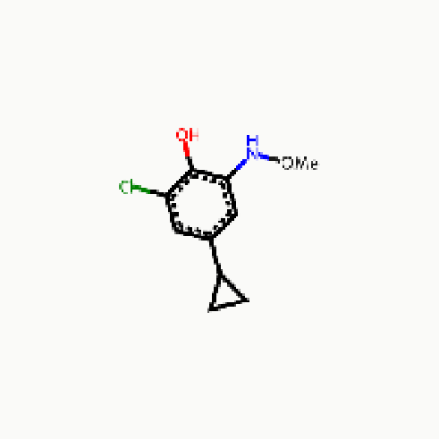 CONc1cc(C2CC2)cc(Cl)c1O